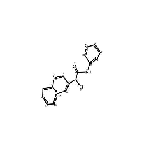 CCC(C(=O)Nc1cccnc1)c1cnc2ccccc2c1